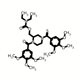 CCN(CC)C(=O)OCC1CN(C(=S)c2cc(OC)c(OC)c(OC)c2)CCN1C(=O)c1cc(OC)c(OC)c(OC)c1